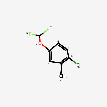 Cc1cc(OC(F)F)ccc1Cl